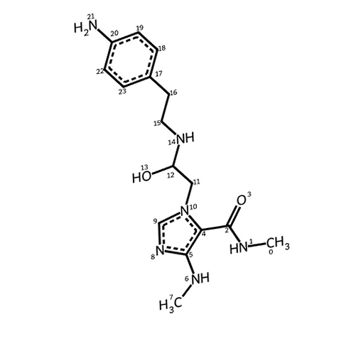 CNC(=O)c1c(NC)ncn1CC(O)NCCc1ccc(N)cc1